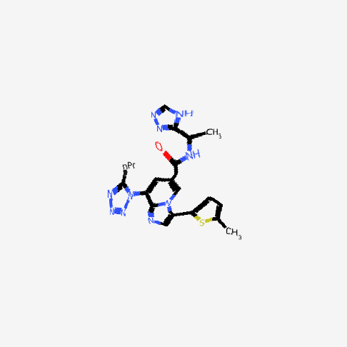 CCCc1nnnn1-c1cc(C(=O)NC(C)c2nnc[nH]2)cn2c(-c3ccc(C)s3)cnc12